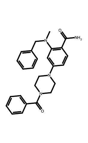 CN(Cc1ccccc1)c1cc(N2CCN(C(=O)c3ccccc3)CC2)ccc1C(N)=O